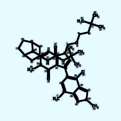 Cc1cc(-c2cn(COCC[Si](C)(C)C)c3nc(N4C5CCC4CC(NC(=O)OC(C)(C)C)C5)n(C)c(=O)c23)c(Cl)c2cn(C)nc12